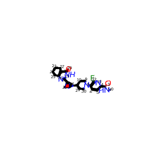 CNC(=O)c1ccc(N2CCC(N3CC4(c5nc6c(c(=O)[nH]5)CCCC6)CC3C4)CC2)c(F)n1